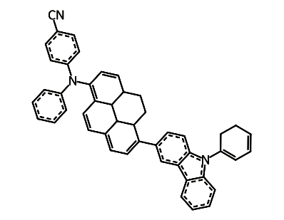 N#Cc1ccc(N(C2=C3C=CC4=CC=C(c5ccc6c(c5)c5ccccc5n6C5=CC=CCC5)C5CCC(C=C2)C3C45)c2ccccc2)cc1